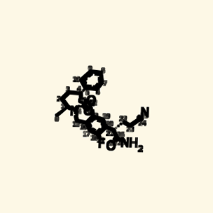 C[C@H]1CC[C@H](c2ccccc2)S(=O)(=O)N1Cc1cc(F)c([C@H](CCC#N)C(N)=O)cc1F